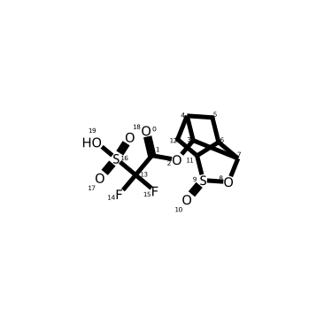 O=C(OC1C2CC3C1OS(=O)C3C2)C(F)(F)S(=O)(=O)O